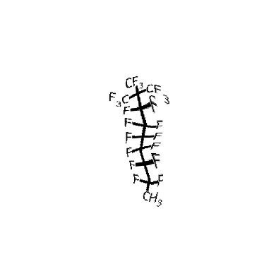 CC(F)(F)C(F)(F)C(F)(F)C(F)(F)C(F)(F)C(F)(F)C(C(F)(F)F)(C(F)(F)F)C(F)(F)F